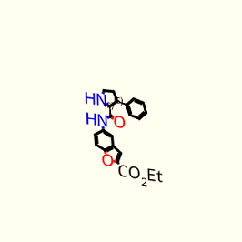 CCOC(=O)c1cc2cc(NC(=O)[C@H]3NCC[C@H]3c3ccccc3)ccc2o1